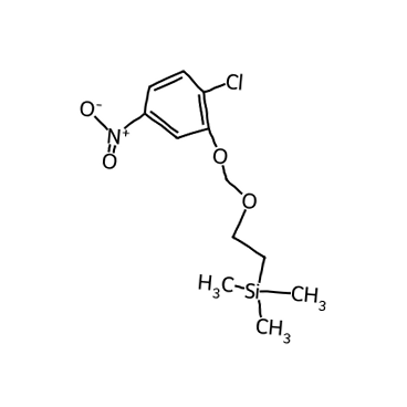 C[Si](C)(C)CCOCOc1cc([N+](=O)[O-])ccc1Cl